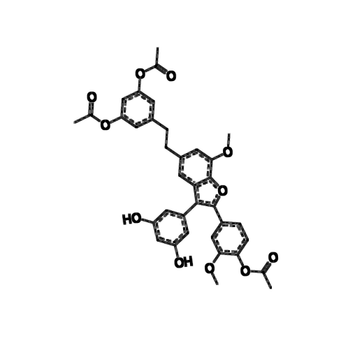 COc1cc(-c2oc3c(OC)cc(CCc4cc(OC(C)=O)cc(OC(C)=O)c4)cc3c2-c2cc(O)cc(O)c2)ccc1OC(C)=O